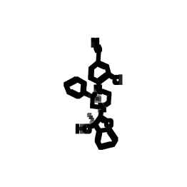 C[C@](O)(C(=O)N1CCN(c2ccc(C#N)cc2Cl)[C@H](c2ccccc2)C1)c1ccccc1